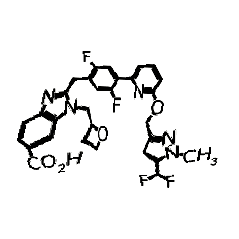 Cn1nc(COc2cccc(-c3cc(F)c(Cc4nc5ccc(C(=O)O)cc5n4C[C@@H]4CCO4)cc3F)n2)cc1C(F)F